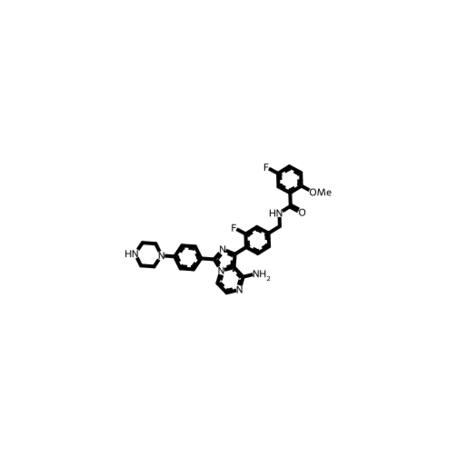 COc1ccc(F)cc1C(=O)NCc1ccc(-c2nc(-c3ccc(N4CCNCC4)cc3)n3ccnc(N)c23)c(F)c1